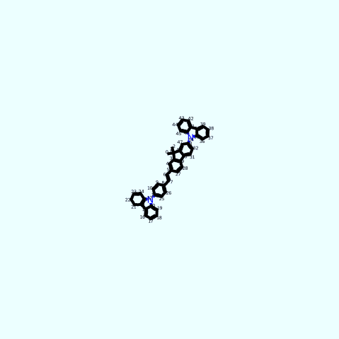 CC1(C)c2cc(/C=C/c3ccc(-n4c5c(c6ccccc64)CCC=C5)cc3)ccc2-c2ccc(-n3c4ccccc4c4ccccc43)cc21